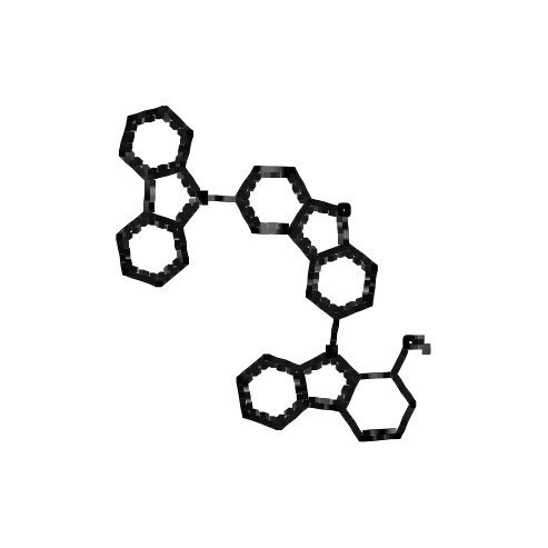 CC1CC=Cc2c1n(-c1ccc3oc4ccc(-n5c6ccccc6c6ccccc65)cc4c3c1)c1ccccc21